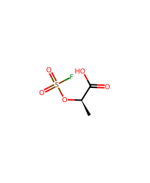 C[C@@H](OS(=O)(=O)F)C(=O)O